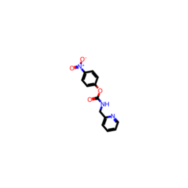 O=C(NCc1ccccn1)Oc1ccc([N+](=O)[O-])cc1